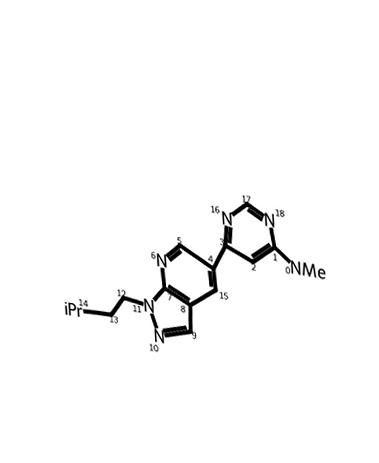 CNc1cc(-c2cnc3c(cnn3CCC(C)C)c2)ncn1